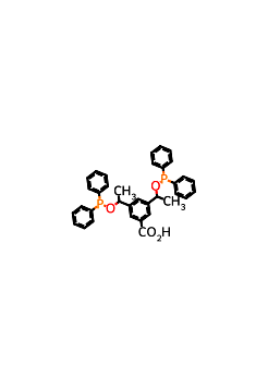 CC(OP(c1ccccc1)c1ccccc1)c1cc(C(=O)O)cc(C(C)OP(c2ccccc2)c2ccccc2)c1